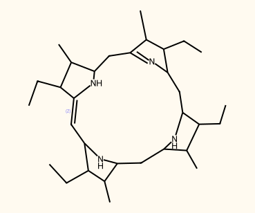 CCC1/C2=C/C3NC(CC4NC(CC5N=C(CC(N2)C1C)C(C)C5CC)C(CC)C4C)C(C)C3CC